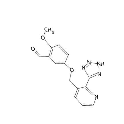 COc1ccc(OCc2cccnc2-c2nn[nH]n2)cc1C=O